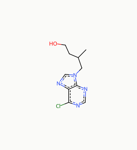 CC(CCO)Cn1cnc2c(Cl)ncnc21